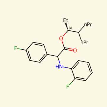 CCCC(CCC)[C@H](CC)OC(=O)C(Nc1ccccc1F)c1ccc(F)cc1